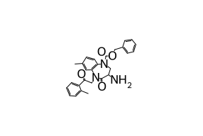 Cc1ccc2c(c1)N(CC(=O)c1ccccc1C)C(=O)C(N)CN2C(=O)OCc1ccccc1